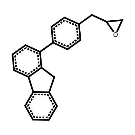 c1ccc2c(c1)Cc1c(-c3ccc(CC4CO4)cc3)cccc1-2